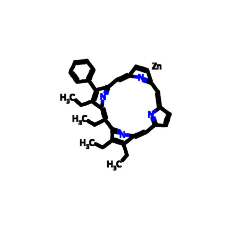 CCC1=C(CC)C2=NC1=CC1=NC(=CC3=NC(=CC4=NC(=C2CC)C(CC)=C4c2ccccc2)C=C3)C=C1.[Zn]